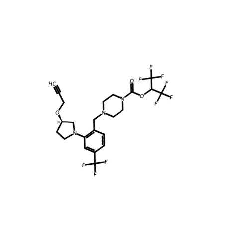 C#CCO[C@@H]1CCN(c2cc(C(F)(F)F)ccc2CN2CCN(C(=O)OC(C(F)(F)F)C(F)(F)F)CC2)C1